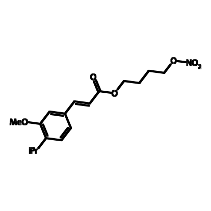 COc1cc(/C=C/C(=O)OCCCCO[N+](=O)[O-])ccc1C(C)C